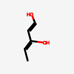 CC=C(O)C=CO